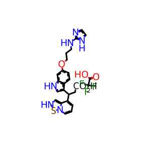 O=C(O)C(F)(F)F.O=C(O)CC(C1=CC=CN2SNC=C12)c1c[nH]c2cc(OCCCNc3ncc[nH]3)ccc12